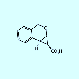 O=C(O)[C@@H]1C2OCc3ccccc3[C@@H]21